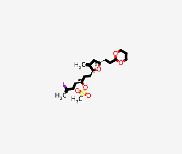 C=C(I)CC[C@@H](CC[C@@H]1O[C@@H](CCC2OCCCO2)CC1=C)OS(C)(=O)=O